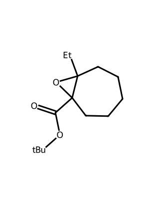 CCC12CCCCCC1(C(=O)OC(C)(C)C)O2